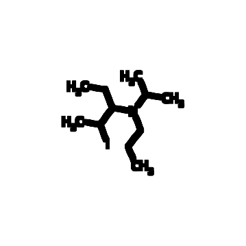 CCCN(C(C)C)C(CC)C(C)I